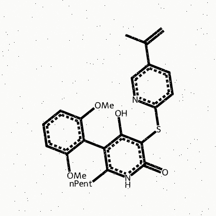 C=C(C)c1ccc(Sc2c(O)c(-c3c(OC)cccc3OC)c(CCCCC)[nH]c2=O)nc1